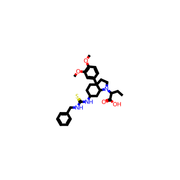 CCC(C(=O)O)N1CCC2(c3ccc(OC)c(OC)c3)CCC(NC(=S)NCc3ccccc3)CC12